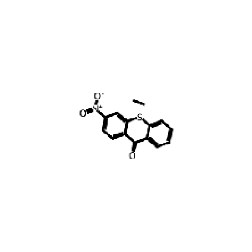 CC.O=c1c2ccccc2sc2cc([N+](=O)[O-])ccc12